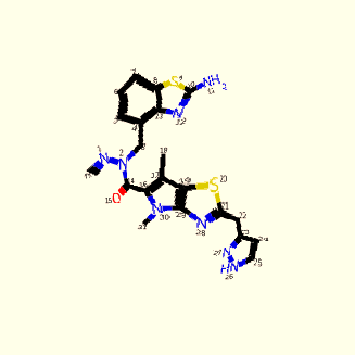 C=NN(Cc1cccc2sc(N)nc12)C(=O)c1c(C)c2sc(Cc3cc[nH]n3)nc2n1C